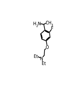 CCN(CC)CCOc1ccc(C(C)N)c(F)c1